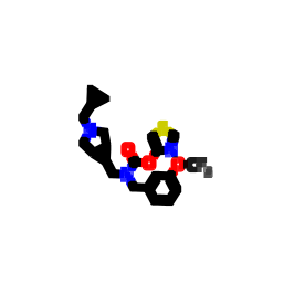 O=C(Oc1cscn1)N(Cc1cccc(OC(F)(F)F)c1)CC1C2CN(CC3CC3)CC21